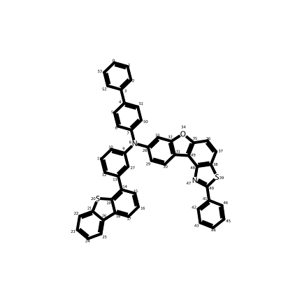 c1ccc(-c2ccc(N(c3cccc(-c4cccc5c4sc4ccccc45)c3)c3ccc4c(c3)oc3ccc5sc(-c6ccccc6)nc5c34)cc2)cc1